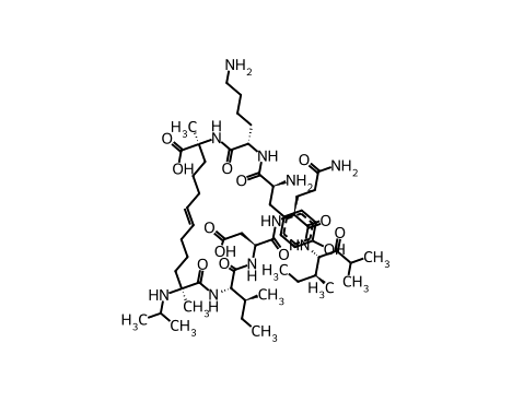 CC[C@H](C)[C@H](NC(=O)[C@](C)(CCC/C=C/CCC[C@](C)(NC(=O)[C@H](CCCCN)NC(=O)[C@@H](N)Cc1ccc(O)cc1)C(=O)O)NC(C)C)C(=O)N[C@@H](CC(=O)O)C(=O)N[C@@H](CCC(N)=O)C(=O)N[C@H](C(=O)C(C)C)[C@@H](C)CC